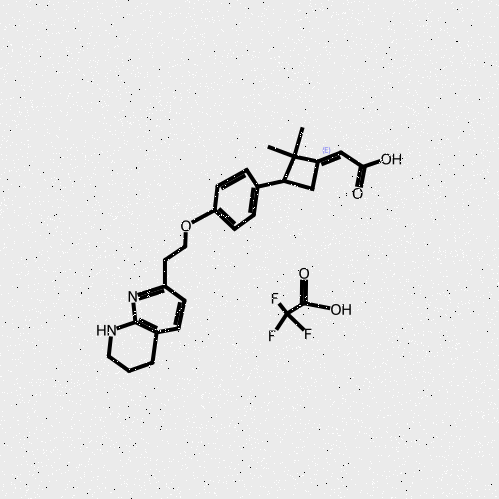 CC1(C)/C(=C/C(=O)O)CC1c1ccc(OCCc2ccc3c(n2)NCCC3)cc1.O=C(O)C(F)(F)F